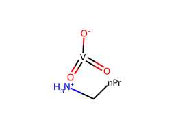 CCCC[NH3+].[O]=[V](=[O])[O-]